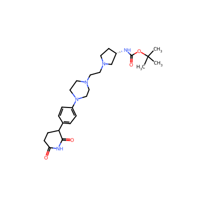 CC(C)(C)OC(=O)N[C@H]1CCN(CCN2CCN(c3ccc(C4CCC(=O)NC4=O)cc3)CC2)C1